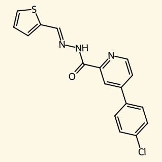 O=C(NN=Cc1cccs1)c1cc(-c2ccc(Cl)cc2)ccn1